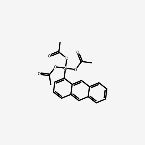 CC(=O)O[Si](OC(C)=O)(OC(C)=O)c1cccc2cc3ccccc3cc12